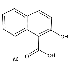 O=C(O)c1c(O)ccc2ccccc12.[Al]